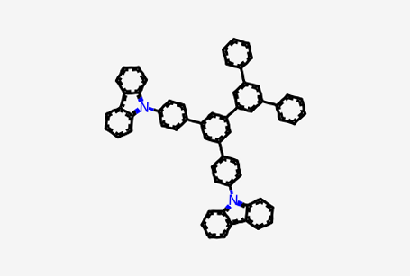 c1ccc(-c2cc(-c3ccccc3)cc(-c3cc(-c4ccc(-n5c6ccccc6c6ccccc65)cc4)cc(-c4ccc(-n5c6ccccc6c6ccccc65)cc4)c3)c2)cc1